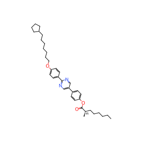 CCCCCC[C@@H](C)C(=O)Oc1ccc(-c2cnc(-c3ccc(OCCCCCCCC4CCCC4)cc3)nc2)cc1